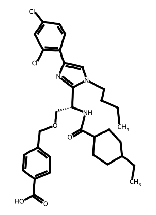 CCCCn1cc(-c2ccc(Cl)cc2Cl)nc1[C@@H](COCc1ccc(C(=O)O)cc1)NC(=O)C1CCC(CC)CC1